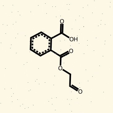 O=CCOC(=O)c1ccccc1C(=O)O